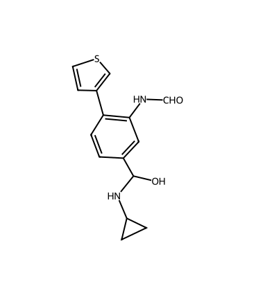 O=CNc1cc(C(O)NC2CC2)ccc1-c1ccsc1